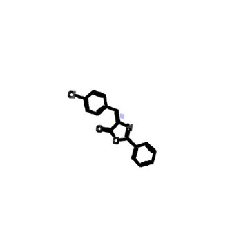 O=C1OC(c2ccccc2)=N/C1=C/c1ccc(Cl)cc1